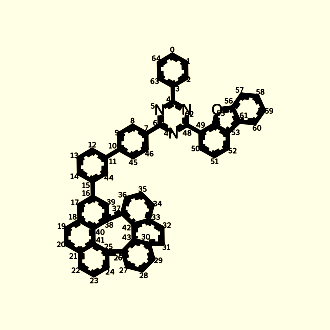 c1ccc(-c2nc(-c3ccc(-c4cccc(-c5cc6ccc7cccc8c9cccc%10ccc%11cccc(c(c5)c6c78)c%11c%109)c4)cc3)nc(-c3cccc4c3oc3ccccc34)n2)cc1